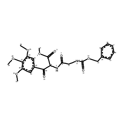 COC(=O)C(NC(=O)CNC(=O)OCc1ccccc1)C(=O)c1cc(OC)c(OC)c(OC)c1